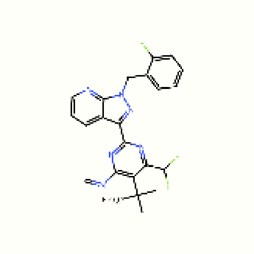 C=Nc1nc(-c2nn(Cc3ccccc3F)c3ncccc23)nc(C(F)F)c1C(C)(C)C(=O)OCC